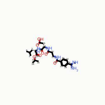 CC(C)C[C@H](NC(=O)[C@H](CC(=O)O)NC(=O)CCNC(=O)c1ccc(C(=N)N)cc1)C(=O)OC(C)C